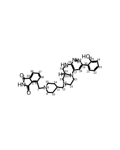 O=C1NC(=O)c2c(CN3CCC(CN4CCN5c6cc(-c7ccccc7O)nnc6NC[C@H]5C4)CC3)cccc21